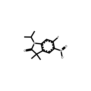 CC(C)N1C(=O)C(C)(C)c2cc([N+](=O)[O-])c(F)cc21